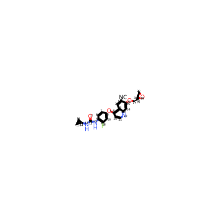 [C-]#[N+]c1cc2c(Oc3ccc(NC(=O)NC4CC4)c(F)c3)ccnc2cc1OC[C@H]1CO1